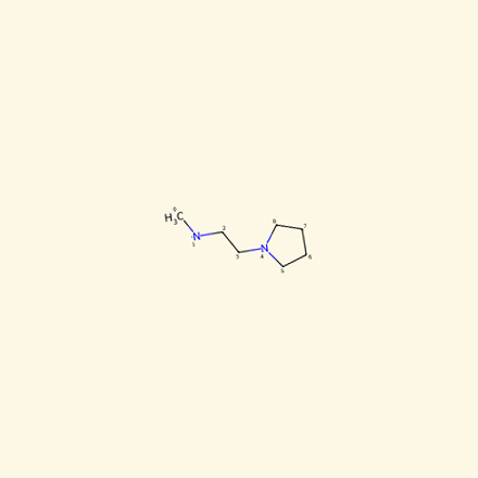 C[N]CCN1CCCC1